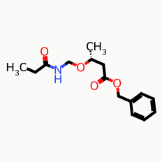 CCC(=O)NCO[C@H](C)CC(=O)OCc1ccccc1